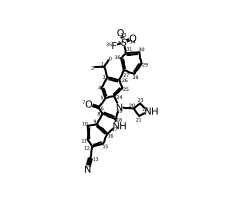 CC(C)c1cc2c(=O)c3c4ccc(C#N)cc4[nH]c3n(C3CNC3)c2cc1-c1cccc(S(=O)(=O)F)c1